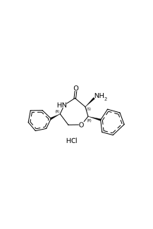 Cl.N[C@@H]1C(=O)N[C@H](c2ccccc2)CO[C@@H]1c1ccccc1